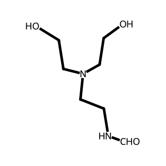 O=CNCCN(CCO)CCO